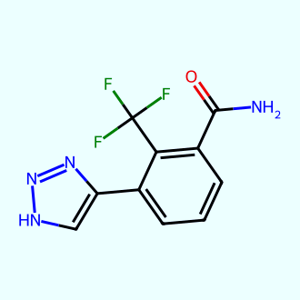 NC(=O)c1cccc(-c2c[nH]nn2)c1C(F)(F)F